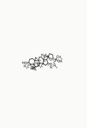 CC(C)(O)[C@@H]1CC[C@](C)(C2[C@@H](O)C[C@@]3(C)[C@@H]4C[C@H](O)[C@H]5C(C)(C)[C@@H](O)CCC56C[C@@]46CC[C@]23C)O1